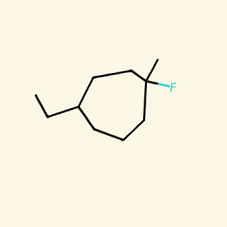 CCC1CCCC(C)(F)CC1